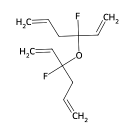 C=CCC(F)(C=C)OC(F)(C=C)CC=C